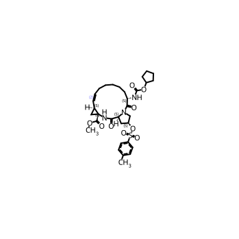 COC(=O)[C@@]12C[C@H]1/C=C\CCCCC[C@H](NC(=O)OC1CCCC1)C(=O)N1C[C@@H](OS(=O)(=O)c3ccc(C)cc3)C[C@H]1C(=O)N2